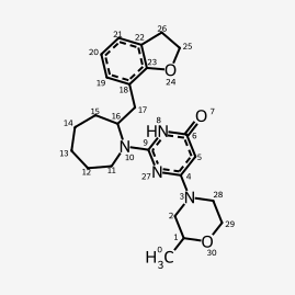 CC1CN(c2cc(=O)[nH]c(N3CCCCCC3Cc3cccc4c3OCC4)n2)CCO1